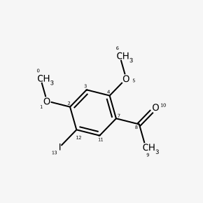 COc1cc(OC)c(C(C)=O)cc1I